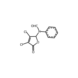 O=CN(c1ccccc1)C1OC(=O)C(Cl)=C1Cl